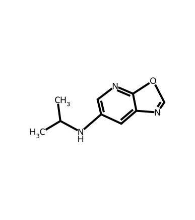 CC(C)Nc1cnc2ocnc2c1